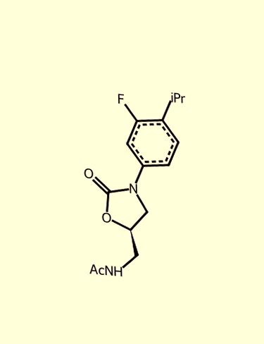 CC(=O)NC[C@@H]1CN(c2ccc(C(C)C)c(F)c2)C(=O)O1